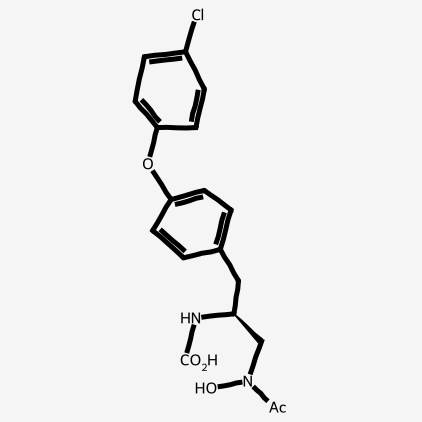 CC(=O)N(O)C[C@H](Cc1ccc(Oc2ccc(Cl)cc2)cc1)NC(=O)O